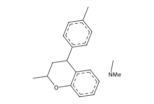 CNC.Cc1ccc(C2CC(C)Oc3ccccc32)cc1